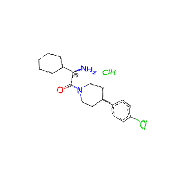 Cl.N[C@@H](C(=O)N1CCC(c2ccc(Cl)cc2)CC1)C1CCCCC1